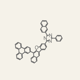 c1ccc(-c2nc(-c3ccc4ccccc4c3)nc(-c3ccc4c(c3)oc3c(-c5ccc6c7ccccc7c7ccccc7c6c5)c5ccccc5cc34)n2)cc1